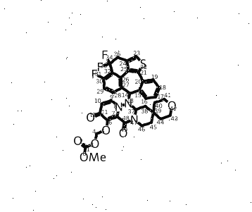 COC(=O)OCOc1c2n(ccc1=O)N(C1c3ccccc3-c3scc4c3-c3c1ccc(F)c3C(F)(F)C4)C1CC3(CCOCC3)CCN1C2=O